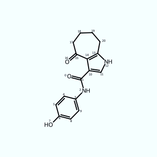 O=C(Nc1ccc(O)cc1)c1c[nH]c2c1C(=O)CCCC2